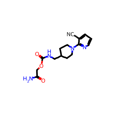 N#Cc1cccnc1N1CCC(CNC(=O)OCC(N)=O)CC1